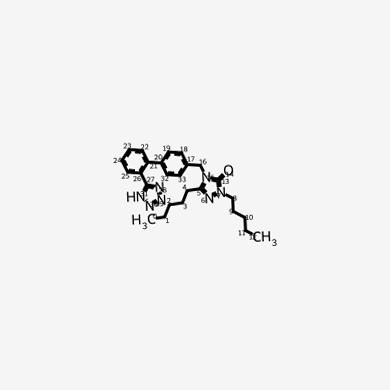 CCCCCc1nn(CCCCC)c(=O)n1Cc1ccc(-c2ccccc2-c2nnn[nH]2)cc1